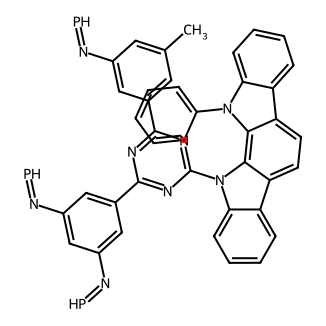 Cc1cc(N=P)cc(-c2nc(-c3cc(N=P)cc(N=P)c3)nc(-n3c4ccccc4c4ccc5c6ccccc6n(-c6ccccc6)c5c43)n2)c1